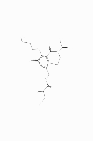 CCCCOc1c2n(c(CNC(=O)C(N)CC)cc1=O)CCN(C(C)C)C2=O